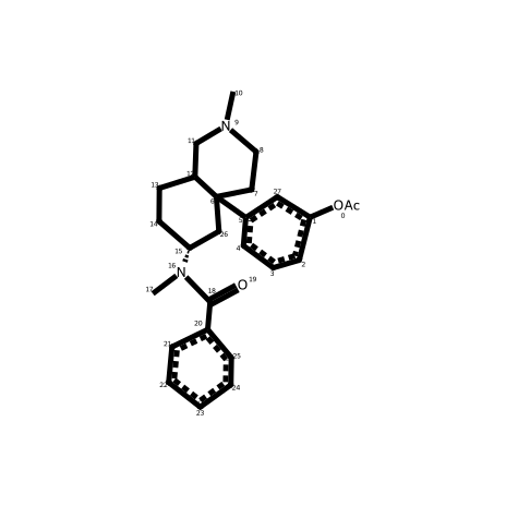 CC(=O)Oc1cccc(C23CCN(C)CC2CC[C@@H](N(C)C(=O)c2ccccc2)C3)c1